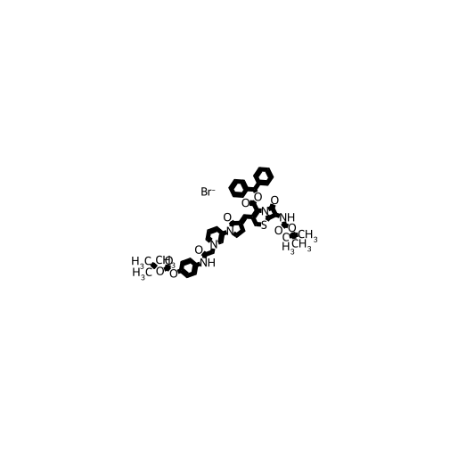 CC(C)(C)OC(=O)NC1C(=O)N2C(C(=O)OC(c3ccccc3)c3ccccc3)=C(C=C3CCN(c4ccc[n+](CC(=O)Nc5ccc(OC(=O)OC(C)(C)C)cc5)c4)C3=O)CSC12.[Br-]